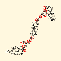 CC(C)C1=CC2=CCC3C(C)(C(=O)OCC(O)COCCOc4ccc(C(C)(C)c5ccc(OCOOCC(O)COC(=O)C6(C)CCCC7(C)C8CCC(C(C)C)=CC8=CCC67)cc5)cc4)CCCC3(C)C2CC1